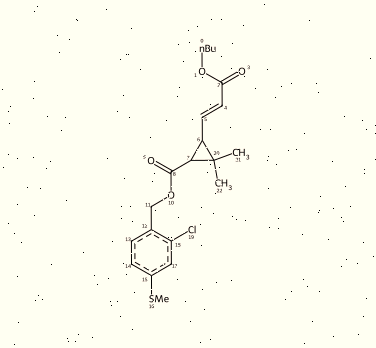 CCCCOC(=O)C=CC1C(C(=O)OCc2ccc(SC)cc2Cl)C1(C)C